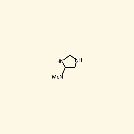 CNC1CNCN1